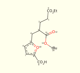 CCOC(=O)CCC(Cc1ccc(C(=O)O)o1)C(=O)OC(C)(C)C